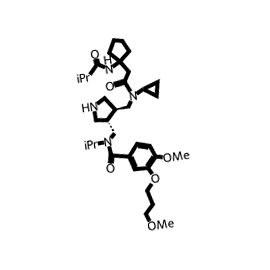 COCCCOc1cc(C(=O)N(C[C@@H]2CNC[C@H]2CN(C(=O)CC2(NC(=O)C(C)C)CCCC2)C2CC2)C(C)C)ccc1OC